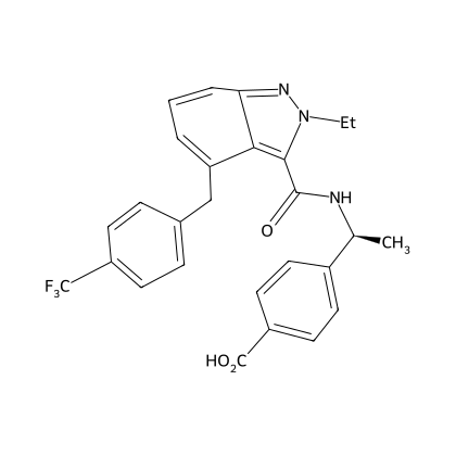 CCn1nc2cccc(Cc3ccc(C(F)(F)F)cc3)c2c1C(=O)N[C@@H](C)c1ccc(C(=O)O)cc1